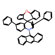 c1ccc(-c2ccc3c(c2)C2(c4ccccc4Oc4ccccc42)c2cc(-c4ccccc4)ccc2N3c2c3ccccc3cc3ccccc23)cc1